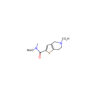 CON(C)C(=O)c1cc2c(s1)CCN(C(=O)O)C2